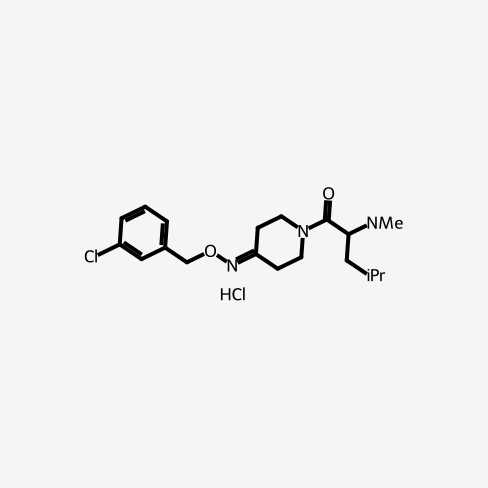 CNC(CC(C)C)C(=O)N1CCC(=NOCc2cccc(Cl)c2)CC1.Cl